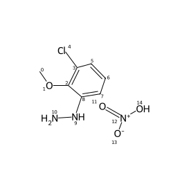 COc1c(Cl)cccc1NN.O=[N+]([O-])O